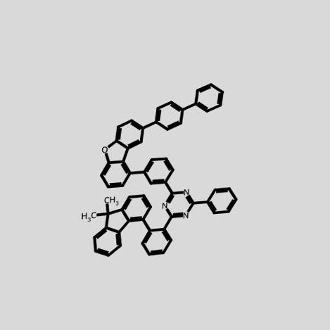 CC1(C)c2ccccc2-c2c(-c3ccccc3-c3nc(-c4ccccc4)nc(-c4cccc(-c5cccc6oc7ccc(-c8ccc(-c9ccccc9)cc8)cc7c56)c4)n3)cccc21